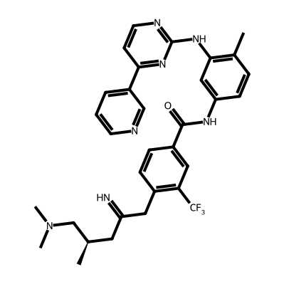 Cc1ccc(NC(=O)c2ccc(CC(=N)C[C@@H](C)CN(C)C)c(C(F)(F)F)c2)cc1Nc1nccc(-c2cccnc2)n1